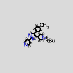 Cc1ccc(-c2cnc(-c3ccncc3)nc2C2CCN(CC(C)(C)C)CC2)cc1